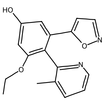 CCOc1cc(O)cc(-c2ccno2)c1-c1ncccc1C